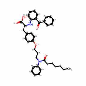 CCCCCCC(=O)N(CCCOc1ccc(C[C@H](Nc2ccccc2C(=O)c2ccccc2)C(=O)O)cc1)c1ccccc1